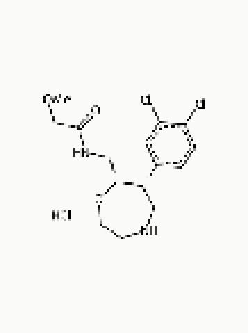 COCC(=O)NC[C@H]1OCCNC[C@H]1c1ccc(Cl)c(Cl)c1.Cl